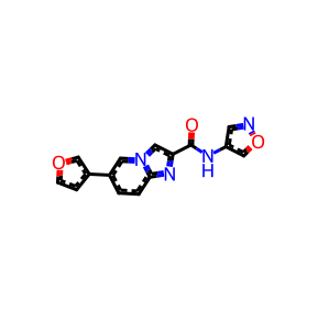 O=C(Nc1cnoc1)c1cn2cc(-c3ccoc3)ccc2n1